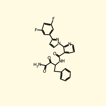 NC(=O)C(=O)C(Cc1ccccc1)NC(=O)c1cccnc1-n1ccc(-c2cc(F)cc(F)c2)n1